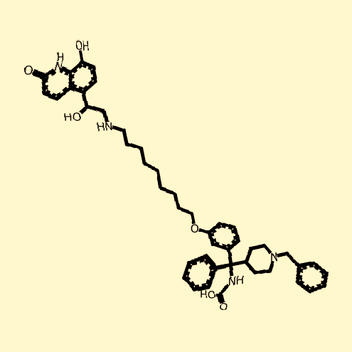 O=C(O)NC(c1ccccc1)(c1cccc(OCCCCCCCCCNCC(O)c2ccc(O)c3[nH]c(=O)ccc23)c1)C1CCN(Cc2ccccc2)CC1